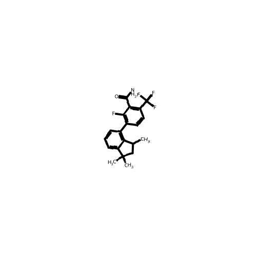 CC1CC(C)(C)c2cccc(-c3ccc(C(F)(F)F)c(C(N)=O)c3F)c21